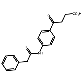 O=C(O)CCC(=O)c1ccc(NC(=O)Cc2ccccc2)cc1